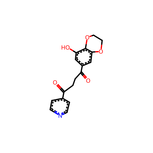 O=C(CCC(=O)c1cc(O)c2c(c1)OCCO2)c1ccncc1